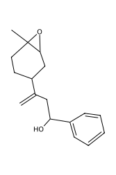 C=C(CC(O)c1ccccc1)C1CCC2(C)OC2C1